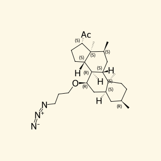 CC(=O)[C@H]1CC[C@H]2[C@@H]3[C@H](OCCCN=[N+]=[N-])C[C@@H]4C[C@H](C)CC[C@]4(C)[C@H]3C[C@H](C)[C@]12C